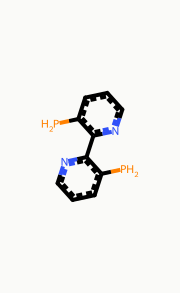 Pc1cccnc1-c1ncccc1P